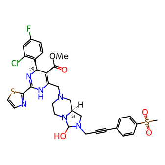 COC(=O)C1=C(CN2CCN3C(O)N(CC#Cc4ccc(S(C)(=O)=O)cc4)C[C@@H]3C2)NC(c2nccs2)=N[C@H]1c1ccc(F)cc1Cl